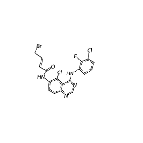 O=C(/C=C/CBr)Nc1ccc2ncnc(Nc3cccc(Cl)c3F)c2c1Cl